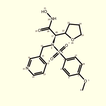 COc1ccc(S(=O)(=O)N(Cc2cccnc2)[C@@H](C(=O)NO)C2CCCO2)cc1